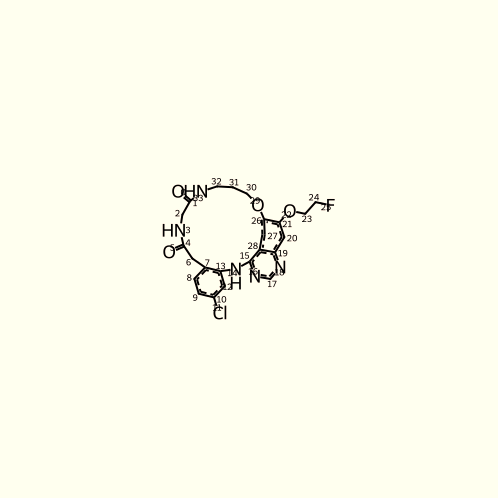 O=C1CNC(=O)Cc2ccc(Cl)cc2Nc2ncnc3cc(OCCF)c(cc23)OCCCN1